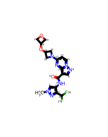 Cn1cc(NC(=O)c2cnn3ccc(N4CC(OC5COC5)C4)nc23)c(C(F)F)n1